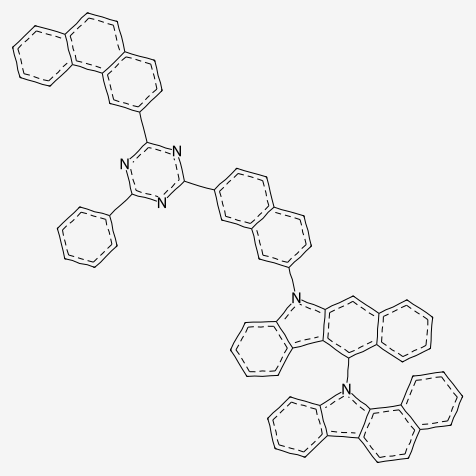 c1ccc(-c2nc(-c3ccc4ccc(-n5c6ccccc6c6c(-n7c8ccccc8c8ccc9ccccc9c87)c7ccccc7cc65)cc4c3)nc(-c3ccc4ccc5ccccc5c4c3)n2)cc1